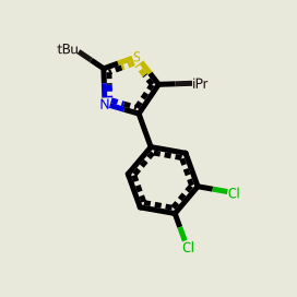 CC(C)c1sc(C(C)(C)C)nc1-c1ccc(Cl)c(Cl)c1